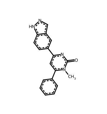 Cn1c(-c2ccccc2)cc(-c2ccc3[nH]ncc3c2)nc1=O